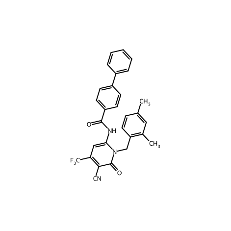 Cc1ccc(Cn2c(NC(=O)c3ccc(-c4ccccc4)cc3)cc(C(F)(F)F)c(C#N)c2=O)c(C)c1